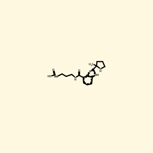 CC1(c2nc3c(C(=O)NCCCNC(=O)O)cccc3[nH]2)CCCN1